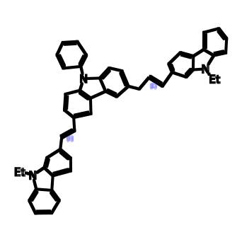 CCn1c2ccccc2c2ccc(/C=C/Cc3ccc4c(c3)c3cc(/C=C/c5ccc6c7ccccc7n(CC)c6c5)ccc3n4-c3ccccc3)cc21